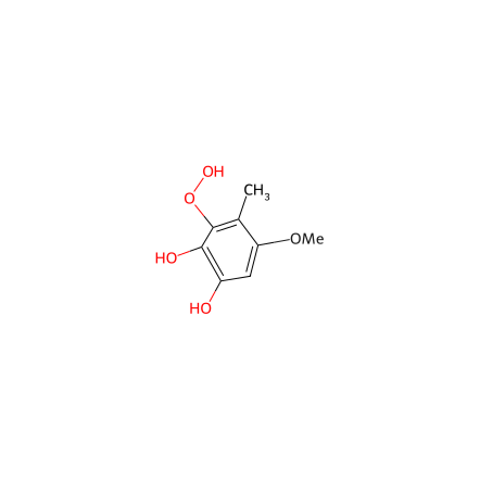 COc1cc(O)c(O)c(OO)c1C